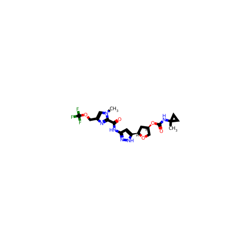 Cn1cc(COC(F)(F)F)nc1C(=O)Nc1cc([C@H]2C[C@@H](OC(=O)NC3(C)CC3)CO2)[nH]n1